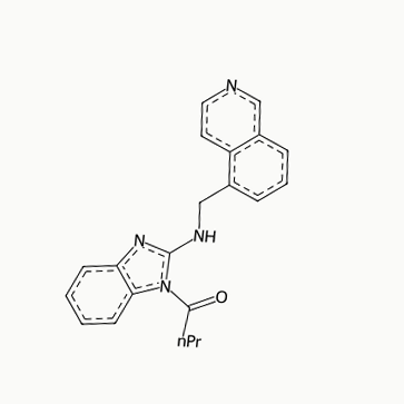 CCCC(=O)n1c(NCc2cccc3cnccc23)nc2ccccc21